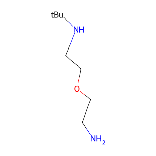 CC(C)(C)NCCOCCN